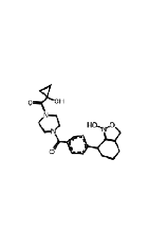 O=C(c1ccc(C2CCCC3CON(O)C32)cc1)N1CCN(C(=O)C2(O)CC2)CC1